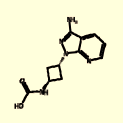 Nc1nn([C@H]2C[C@H](NC(=O)O)C2)c2ncccc12